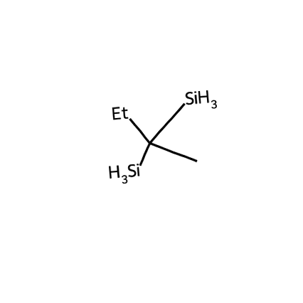 CCC(C)([SiH3])[SiH3]